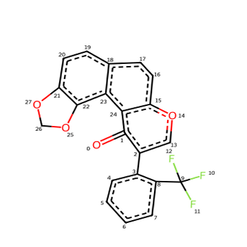 O=c1c(-c2ccccc2C(F)(F)F)coc2ccc3ccc4c(c3c12)OCO4